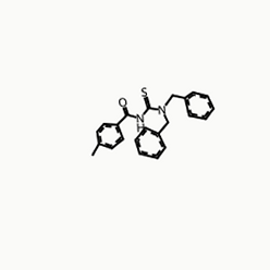 Cc1ccc(C(=O)NC(=S)N(Cc2ccccc2)Cc2ccccc2)cc1